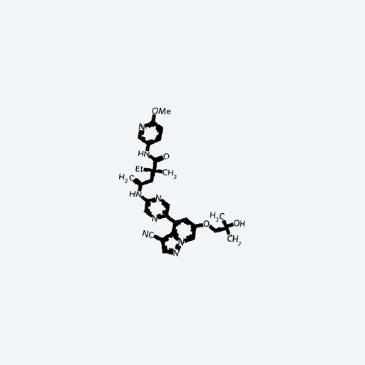 C=C(CC(C)(CC)C(=O)Nc1ccc(OC)nc1)Nc1cnc(-c2cc(OCC(C)(C)O)cn3ncc(C#N)c23)cn1